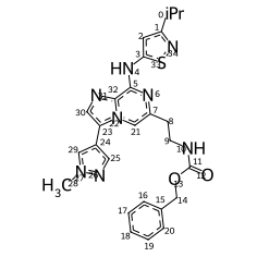 CC(C)c1cc(Nc2nc(CCNC(=O)OCc3ccccc3)cn3c(-c4cnn(C)c4)cnc23)sn1